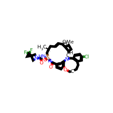 CO[C@H]1/C=C/C[C@H](C)C[S@@](=O)(NC(=O)N2CC3(C2)CC3(F)F)=NC(=O)c2ccc3c(c2)N(Cc2ccc(Cl)cc2CCCCO3)C[C@@H]2CC[C@H]21